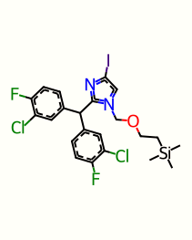 C[Si](C)(C)CCOCn1cc(I)nc1C(c1ccc(F)c(Cl)c1)c1ccc(F)c(Cl)c1